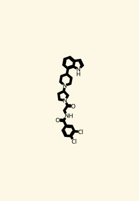 O=C(NCC(=O)N1CCC(N2CCC(c3cccc4cc[nH]c34)CC2)C1)c1ccc(Cl)c(Cl)c1